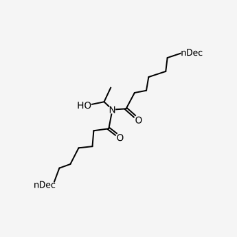 CCCCCCCCCCCCCCCC(=O)N(C(=O)CCCCCCCCCCCCCCC)C(C)O